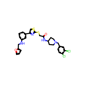 O=C(CSc1nc(-c2cccc(NCc3ccco3)c2)cs1)NC1CCN(Cc2ccc(Cl)c(Cl)c2)CC1